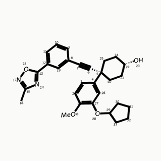 COc1ccc([C@]2(C#Cc3cccc(-c4nc(C)no4)c3)CC[C@@H](O)CC2)cc1OC1CCCC1